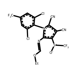 CCO/C=N/c1c([S+]([O-])C(F)(F)F)c(C#N)c(C#N)n1-c1c(Cl)cc(C(F)(F)F)cc1Cl